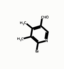 Cc1c(C=O)cnc(Br)c1C